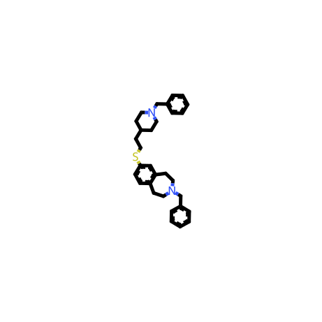 c1ccc(CN2CCc3ccc(SCCC4CCN(Cc5ccccc5)CC4)cc3CC2)cc1